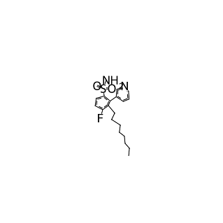 CCCCCCCCc1c(F)ccc(S(N)(=O)=O)c1-c1cccnc1